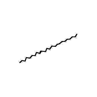 CCCCCCCCC=CCCCCCCCCCCCCCC